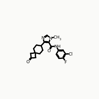 Cn1cnc(C2CCC3(CC2)CC(=O)C3)c1C(=O)Nc1ccc(F)c(Cl)c1